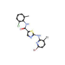 CCc1ccc(Br)nc1Nc1ncc(C(=O)Nc2c(C)cccc2Cl)s1